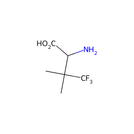 CC(C)(C(N)C(=O)O)C(F)(F)F